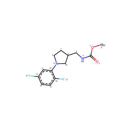 CC(C)(C)OC(=O)NCC1CCN(c2cc(F)ccc2F)C1